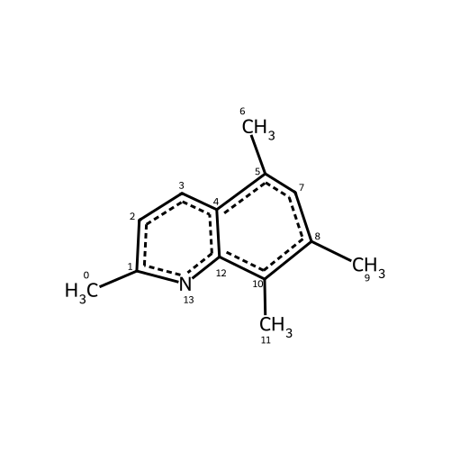 Cc1ccc2c(C)cc(C)c(C)c2n1